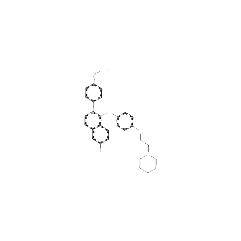 O=CCc1ccc(-c2ccc3cc(O)ccc3c2Oc2ccc(OCCN3CCCCC3)cc2)cc1